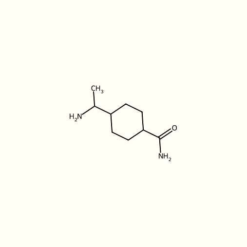 CC(N)C1CCC(C(N)=O)CC1